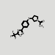 CC(=O)N1CCC(Sc2ccc(-c3noc(C(F)(F)F)n3)cc2)C1